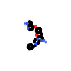 NCC(Cc1ccc(Oc2ccnc3[nH]ccc23)cc1)C(=O)N1CCN(Cc2ccccc2)CC1